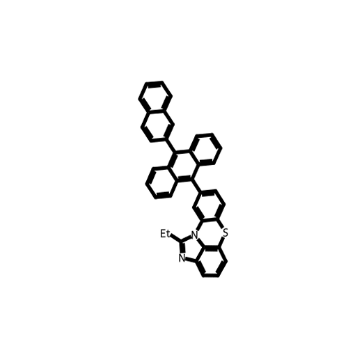 CCc1nc2cccc3c2n1-c1cc(-c2c4ccccc4c(-c4ccc5ccccc5c4)c4ccccc24)ccc1S3